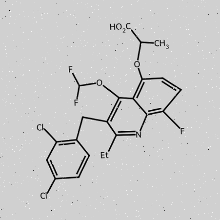 CCc1nc2c(F)ccc(OC(C)C(=O)O)c2c(OC(F)F)c1Cc1ccc(Cl)cc1Cl